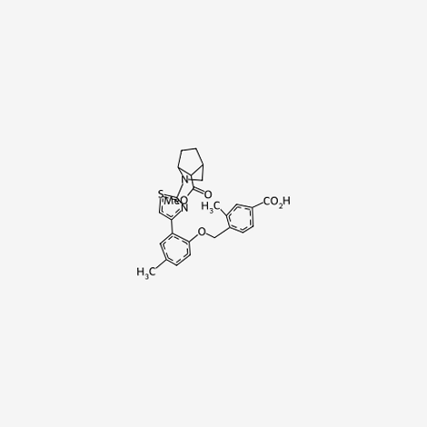 COC(=O)C1C2CCC1N(c1nc(-c3cc(C)ccc3OCc3ccc(C(=O)O)cc3C)cs1)C2